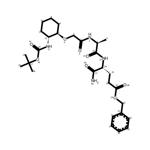 C[C@H](NC(=O)CO[C@@H]1CCCC[C@H]1NC(=O)OC(C)(C)C)C(=O)N[C@H](CCC(=O)OCc1ccccc1)C(N)=O